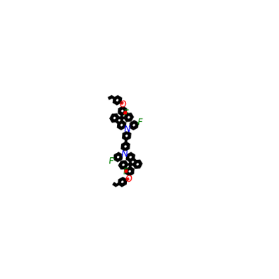 C=Cc1ccc(Oc2ccc(C3(c4ccccc4F)c4ccccc4-c4ccc(N(c5ccc(F)cc5)c5ccc(-c6ccc(N(c7ccc(F)cc7)c7ccc8c(c7)C(c7ccc(Oc9ccc(C=C)cc9)cc7)(c7ccccc7F)c7ccccc7-8)cc6)cc5)cc43)cc2)cc1